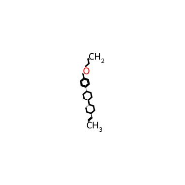 C=CCCOCc1ccc([C@H]2CC[C@H]([C@H]3CC[C@H](C=CC)CC3)CC2)cc1